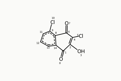 O=C1C(O)=C(Cl)C(=O)c2c(Cl)cccc21